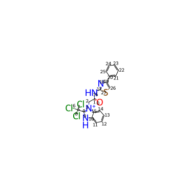 O=C(C[n+]1c(C(Cl)(Cl)Cl)[nH]c2ccccc21)Nc1nc(-c2ccccc2)cs1